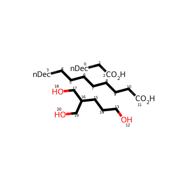 CCCCCCCCCCCC(=O)O.CCCCCCCCCCCCCCCCCC(=O)O.OCCCC(CO)CO